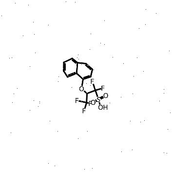 O=S(=O)(O)C(F)(F)C(Oc1cccc2ccccc12)C(F)(F)F